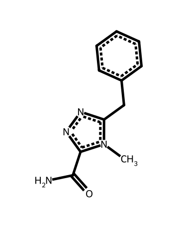 Cn1c(Cc2ccccc2)nnc1C(N)=O